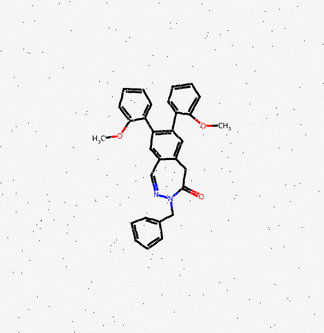 COc1ccccc1-c1cc2c(cc1-c1ccccc1OC)CC(=O)N(Cc1ccccc1)N=C2